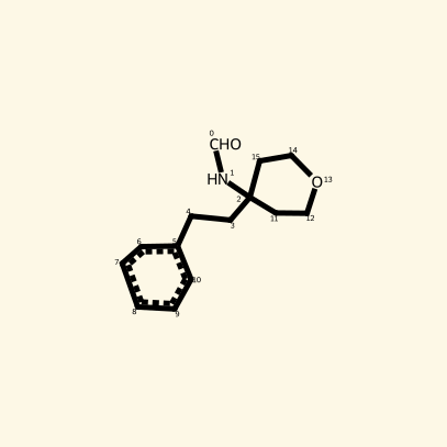 O=CNC1(CCc2ccccc2)CCOCC1